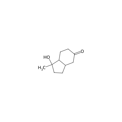 CC1(O)CCC2CC(=O)CCC21